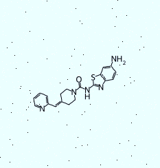 Nc1ccc2nc(NC(=O)N3CCC(=Cc4ccccn4)CC3)sc2c1